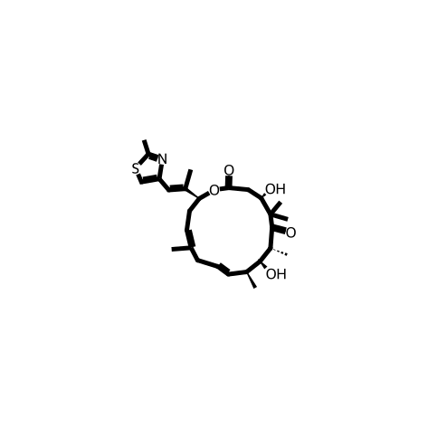 C/C1=C/C[C@@H](/C(C)=C/c2csc(C)n2)OC(=O)C[C@H](O)C(C)(C)C(=O)[C@H](C)[C@@H](O)[C@@H](C)/C=C/C1